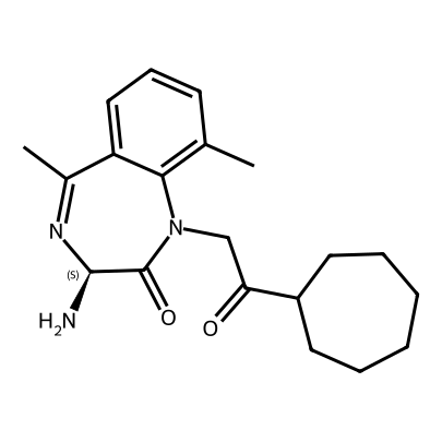 CC1=N[C@H](N)C(=O)N(CC(=O)C2CCCCCC2)c2c(C)cccc21